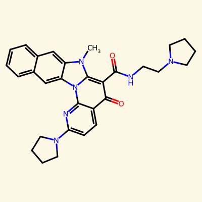 Cn1c2cc3ccccc3cc2n2c3nc(N4CCCC4)ccc3c(=O)c(C(=O)NCCN3CCCC3)c12